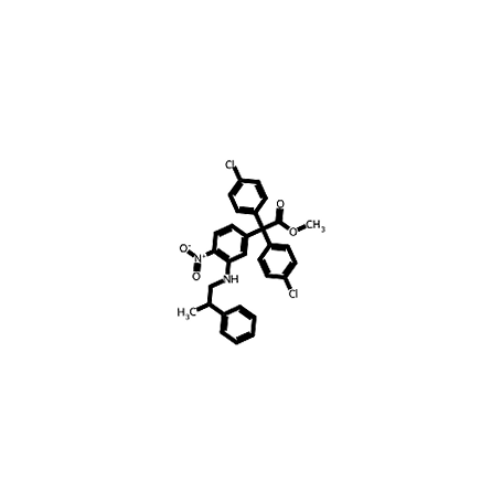 COC(=O)C(c1ccc(Cl)cc1)(c1ccc(Cl)cc1)c1ccc([N+](=O)[O-])c(NCC(C)c2ccccc2)c1